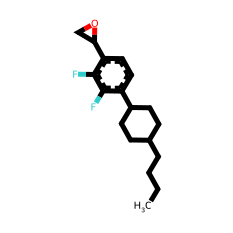 CCCCC1CCC(c2ccc(C3CO3)c(F)c2F)CC1